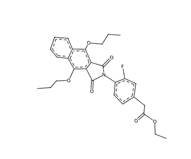 CCCOc1c2c(c(OCCC)c3ccccc13)C(=O)N(c1ccc(CC(=O)OCC)cc1F)C2=O